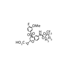 COc1cc(S(=O)(=O)N2CC([C@H]3C[C@@H]3C(=O)O)Oc3ccc(NC(=O)OC(C)(C)C(F)(F)F)cc32)ccc1F